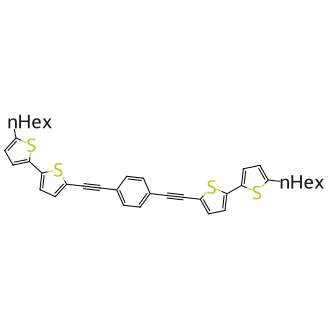 CCCCCCc1ccc(-c2ccc(C#Cc3ccc(C#Cc4ccc(-c5ccc(CCCCCC)s5)s4)cc3)s2)s1